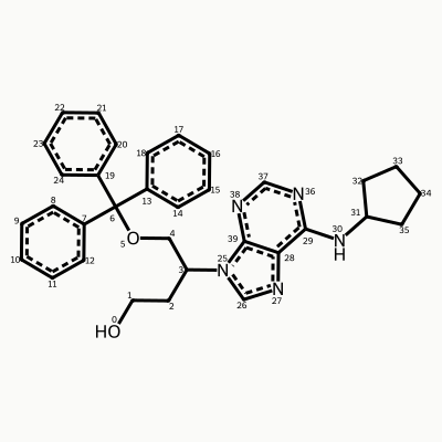 OCCC(COC(c1ccccc1)(c1ccccc1)c1ccccc1)n1cnc2c(NC3CCCC3)ncnc21